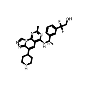 Cc1nc(N[C@H](C)c2cccc(C(F)(F)CO)c2)c2cc(C3CCNCC3)c3nncn3c2n1